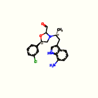 C[C@H](Cc1c[nH]c2c(N)cccc12)N1C[C@@H](c2cccc(Cl)c2)OC1C=O